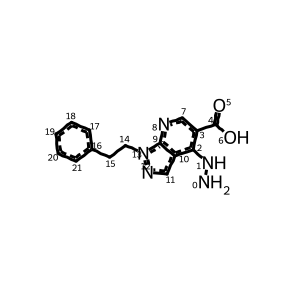 NNc1c(C(=O)O)cnc2c1cnn2CCc1ccccc1